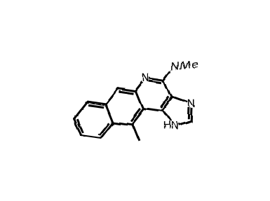 CNc1nc2cc3ccccc3c(C)c2c2[nH]cnc12